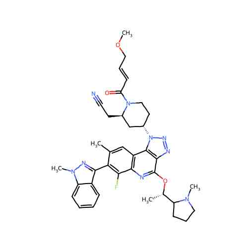 COC/C=C/C(=O)N1CC[C@H](n2nnc3c(O[C@@H](C)C4CCCN4C)nc4c(F)c(-c5nn(C)c6ccccc56)c(C)cc4c32)C[C@H]1CC#N